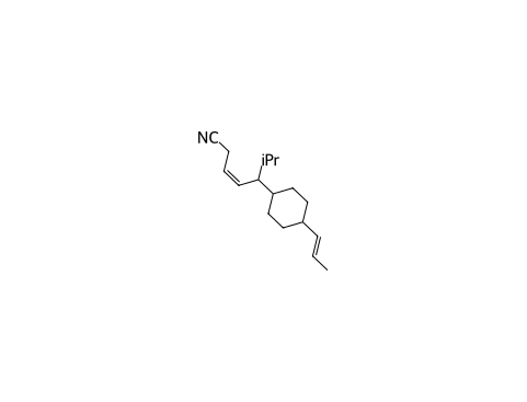 C/C=C/C1CCC(C(/C=C\CC#N)C(C)C)CC1